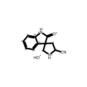 Cl.N#CC1CC2(CN1)C(=O)Nc1ccccc12